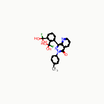 O=c1c2cccnc2c(-c2cccc(C(O)(O)F)c2C(O)(O)F)nn1-c1ccc(C(F)(F)F)cc1